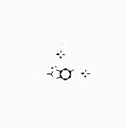 O=C([O-])C1Oc2ccc(O)cc2S1(=O)=O.O=S(=O)([O-])C(F)(F)F.O=S(=O)([O-])C(F)(F)F.[Al+3]